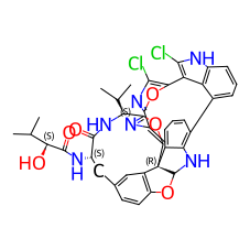 CC(C)[C@H](O)C(=O)N[C@H]1Cc2ccc3c(c2)[C@]24c5cccc(c5NC2O3)-c2cccc3[nH]c(Cl)c(c23)-c2oc(nc2Cl)-c2nc(oc24)[C@H](C(C)C)NC1=O